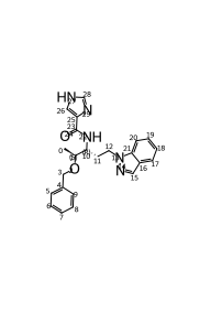 C[C@H](OCc1ccccc1)[C@@H](CCn1ncc2ccccc21)NC(=O)c1c[nH]cn1